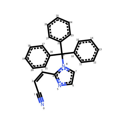 N#C/C=C\c1nccn1C(c1ccccc1)(c1ccccc1)c1ccccc1